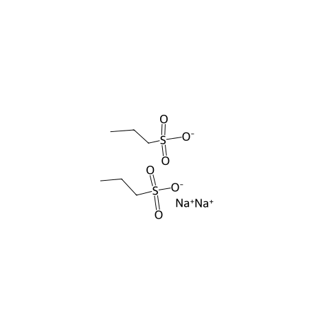 CCCS(=O)(=O)[O-].CCCS(=O)(=O)[O-].[Na+].[Na+]